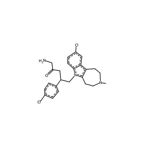 CN1CCc2c(n(CC(CC(=O)CN)c3ccc(Cl)cc3)c3ccc(Cl)cc23)CC1